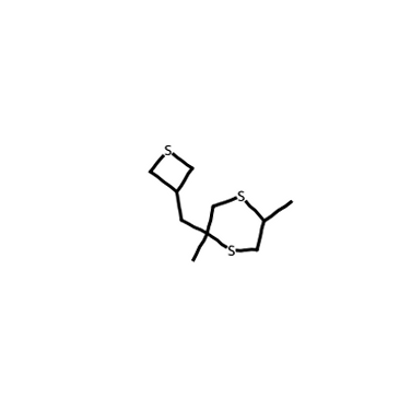 CC1CSC(C)(CC2CSC2)CS1